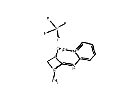 CN1CN(C)C1=[SH]c1cccc[n+]1[O-].F[B-](F)(F)F